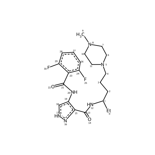 CCC(CCCN1CCN(C)CC1)NC(=O)c1n[nH]cc1NC(=O)c1c(F)cccc1F